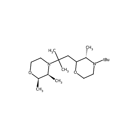 C[C@H]1OCCN(C(C)(C)CC2OCCN(C(C)(C)C)[C@H]2C)[C@H]1C